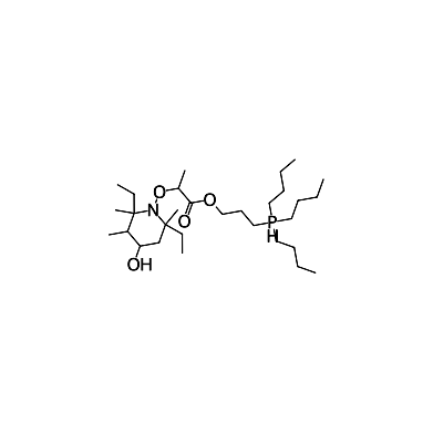 CCCC[PH](CCCC)(CCCC)CCCOC(=O)C(C)ON1C(C)(CC)CC(O)C(C)C1(C)CC